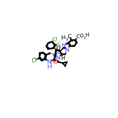 Cc1c(C(=O)O)ccc2c1nc1n2C[C@H]2[C@@H]1[C@H](c1cccc(Cl)c1F)[C@@]1(Cc3ccc(Cl)cc3NC1=O)N2CC1CC1